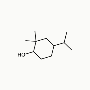 CC(C)C1CCC(O)C(C)(C)C1